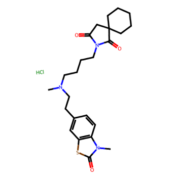 CN(CCCCN1C(=O)CC2(CCCCC2)C1=O)CCc1ccc2c(c1)sc(=O)n2C.Cl